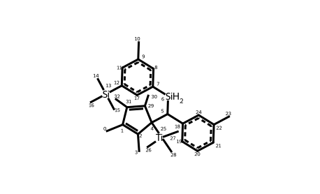 CC1=C(C)[C](C([SiH2]c2cc(C)cc([Si](C)(C)C)c2)c2cccc(C)c2)([Ti]([CH3])([CH3])[CH3])C(C)=C1C